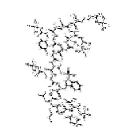 CSCC[C@H](NC(=O)[C@H](CC(C)C)NC(=O)[C@H](Cc1cn(P(=O)(O)O)c2ccccc12)NC(=O)[C@H](CCC(=O)NP(=O)(O)O)NC(=O)[C@@H](NC(=O)[C@H](Cc1ccccc1)NC(=O)[C@H](CC(=O)OP(=O)(O)O)NC(=O)[C@H](CCC(=O)NP(=O)(O)O)NC(=O)[C@H](C)NC(=O)[C@H](CCCNC(=N)NP(=O)(O)O)NC(=O)[C@@H](N)CCCNC(=N)NP(=O)(O)O)C(C)C)C(=O)N[C@@H](CC(=O)NP(=O)(O)O)C(=O)N[C@H](C(=O)O)[C@@H](C)OP(=O)(O)O